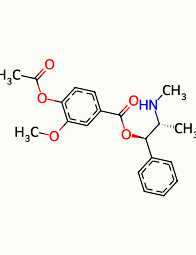 CN[C@H](C)[C@H](OC(=O)c1ccc(OC(C)=O)c(OC)c1)c1ccccc1